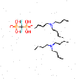 CCCCN(CCCC)CCCC.CCCCN(CCCC)CCCC.O=P(O)(O)C(F)(F)P(=O)(O)O